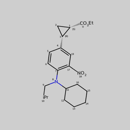 CCOC(=O)[C@H]1C[C@H]1c1ccc(N(CC(C)C)C2CCCCC2)c([N+](=O)[O-])c1